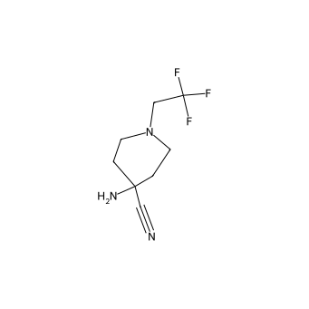 N#CC1(N)CCN(CC(F)(F)F)CC1